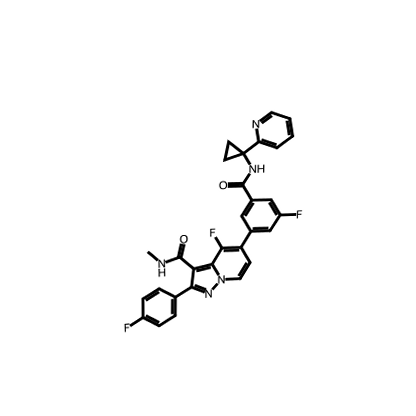 CNC(=O)c1c(-c2ccc(F)cc2)nn2ccc(-c3cc(F)cc(C(=O)NC4(c5ccccn5)CC4)c3)c(F)c12